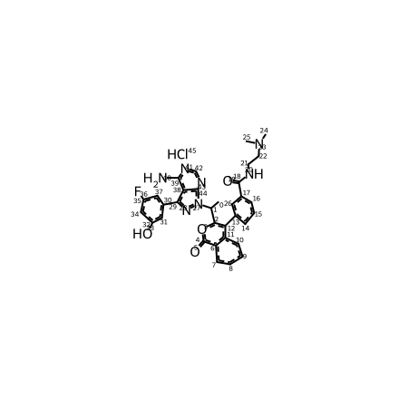 CC(c1oc(=O)c2ccccc2c1-c1cccc(C(=O)NCCN(C)C)c1)n1nc(-c2cc(O)cc(F)c2)c2c(N)ncnc21.Cl